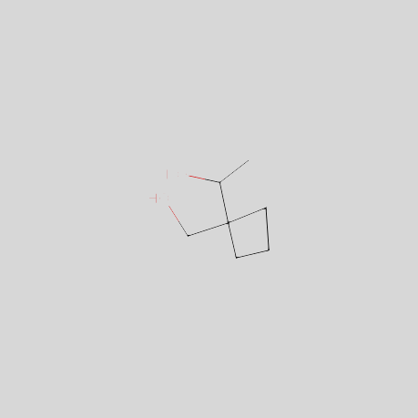 CC(O)C1(CO)CCC1